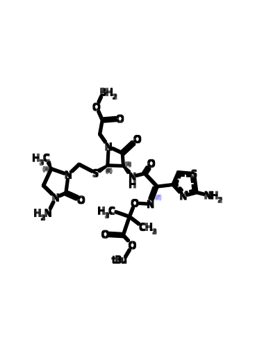 BOC(=O)CN1C(=O)[C@@H](NC(=O)/C(=N\OC(C)(C)C(=O)OC(C)(C)C)c2csc(N)n2)[C@H]1SCN1C(=O)N(N)C[C@H]1C